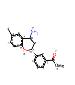 COC(=O)c1cccc([C@H]2CC(N)c3cc(C)ccc3O2)c1